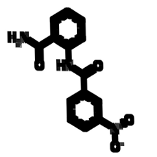 NC(=O)c1ccccc1NC(=O)c1cccc([N+](=O)[O-])c1